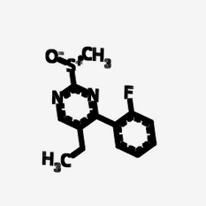 CCc1cnc([S+](C)[O-])nc1-c1ccccc1F